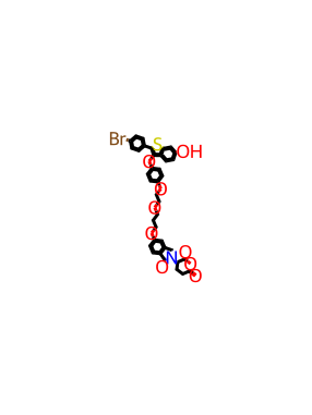 O=C1CCC(N2Cc3cc(OCCCOCCOc4ccc(Oc5c(-c6ccc(Br)cc6)sc6cc(O)ccc56)cc4)ccc3C2=O)C(=O)O1